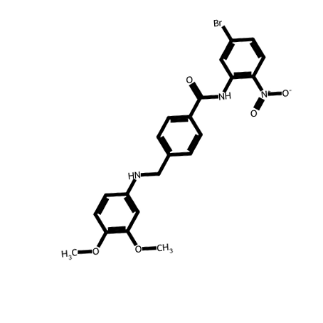 COc1ccc(NCc2ccc(C(=O)Nc3cc(Br)ccc3[N+](=O)[O-])cc2)cc1OC